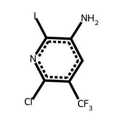 Nc1cc(C(F)(F)F)c(Cl)nc1I